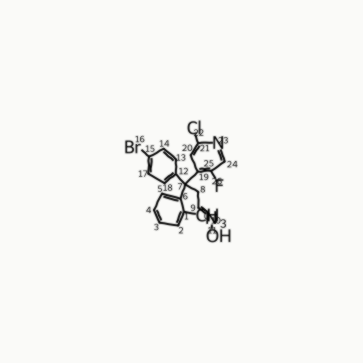 Cc1ccccc1C(CC=NO)(c1ccc(Br)cc1)c1cc(Cl)ncc1F